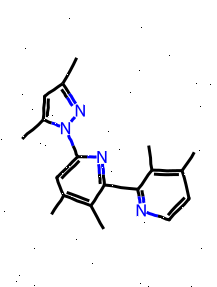 Cc1cc(C)n(-c2cc(C)c(C)c(-c3nccc(C)c3C)n2)n1